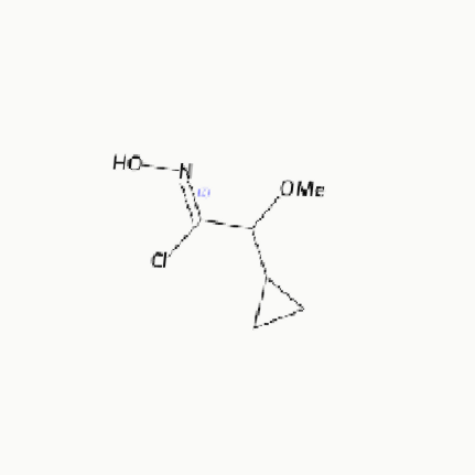 COC(/C(Cl)=N/O)C1CC1